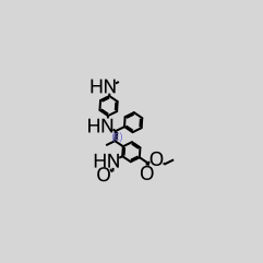 CCOC(=O)c1ccc(/C(C)=C(/Nc2ccc(NC)cc2)c2ccccc2)c(NC=O)c1